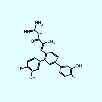 C/C(=C\c1ccc(-c2ccc(F)c(O)c2)cc1-c1ccc(F)c(O)c1)C(=O)NC(=N)N